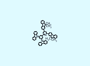 CC1(C)c2ccccc2-c2ccc(-c3cc(-c4cc(-n5c6ccccc6c6ccccc65)cc(-n5c6ccccc6c6ccccc65)c4)nc(-c4ccc5c(c4)C(C)(C)c4ccccc4-5)c3)cc21